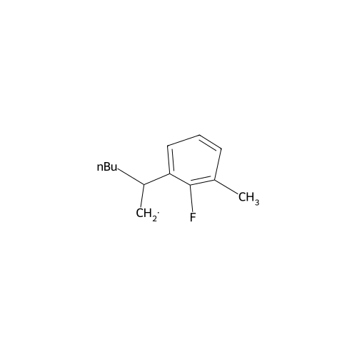 [CH2]C(CCCC)c1cccc(C)c1F